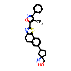 NC1(CO)CCC(c2ccc3c(c2)CCc2nc(-c4onc(-c5ccccc5)c4C(F)(F)F)sc2-3)C1